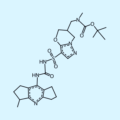 CC1CCc2c1nc1c(c2NC(=O)NS(=O)(=O)c2cnn3c2OCC(CN(C)C(=O)OC(C)(C)C)C3)CCC1